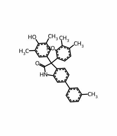 Cc1cccc(-c2ccc3c(c2)NC(=O)C3(c2cc(C)c(O)c(C)c2)c2ccc(C)c(C)c2O)c1